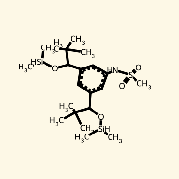 C[SiH](C)OC(c1cc(NS(C)(=O)=O)cc(C(O[SiH](C)C)C(C)(C)C)c1)C(C)(C)C